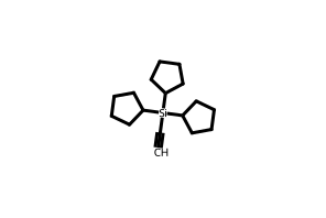 C#C[Si](C1CCCC1)(C1CCCC1)C1CCCC1